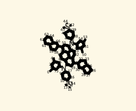 Cc1cc(C)cc(N(c2ccc([Si](C)(C)C)cc2)c2cc(-c3ccc4ccccc4c3)c3ccc4c(N(c5ccc([Si](C)(C)C)cc5)c5cc(C)cc(C)c5)cc(-c5ccc6ccccc6c5)c5ccc2c3c54)c1